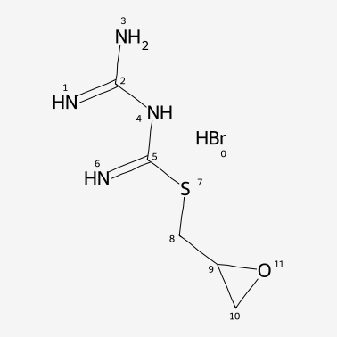 Br.N=C(N)NC(=N)SCC1CO1